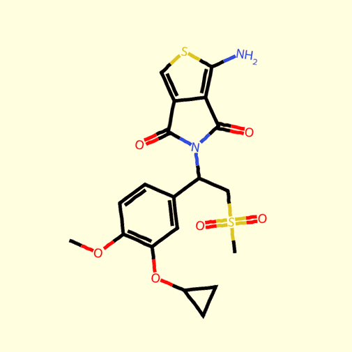 COc1ccc(C(CS(C)(=O)=O)N2C(=O)c3csc(N)c3C2=O)cc1OC1CC1